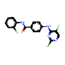 O=C(Nc1ccccc1Cl)c1ccc(Nc2nc(Cl)ncc2F)cc1